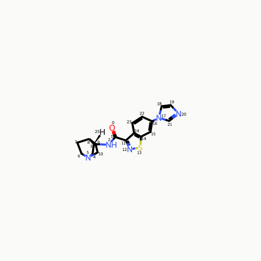 O=C(N[C@@H]1CN2CCC1CC2)c1nsc2cc(-n3ccnc3)ccc12